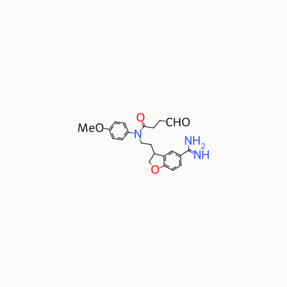 COc1ccc(N(CCC2COc3ccc(C(=N)N)cc32)C(=O)CCC=O)cc1